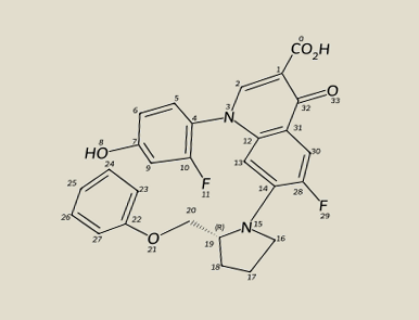 O=C(O)c1cn(-c2ccc(O)cc2F)c2cc(N3CCC[C@@H]3COc3ccccc3)c(F)cc2c1=O